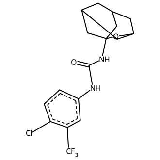 O=C(Nc1ccc(Cl)c(C(F)(F)F)c1)NC12CC3CC(CC(C3)O1)C2